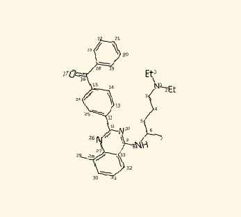 CCN(CC)CCCC(C)Nc1nc(-c2ccc(C(=O)c3ccccc3)cc2)nc2c(C)cccc12